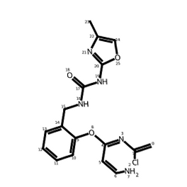 C=C(Cl)/N=C(\C=C/N)Oc1ccccc1CNC(=O)Nc1nc(C)co1